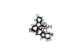 [SH][Zr]([Cl])([Cl])([c]1cc(Br)cc2c1C1C=NC=CC1=C2)[CH]1c2ccccc2-c2ccccc21